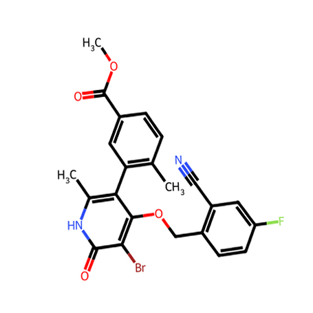 COC(=O)c1ccc(C)c(-c2c(C)[nH]c(=O)c(Br)c2OCc2ccc(F)cc2C#N)c1